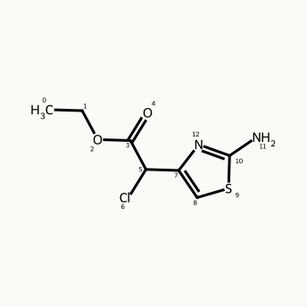 CCOC(=O)C(Cl)c1csc(N)n1